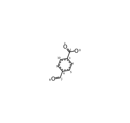 [O]C(=O)c1ccc([C]=O)cc1